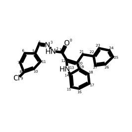 O=C(N/N=C\c1ccc(Cl)cc1)c1[nH]c2ccccc2c1Cc1ccccc1